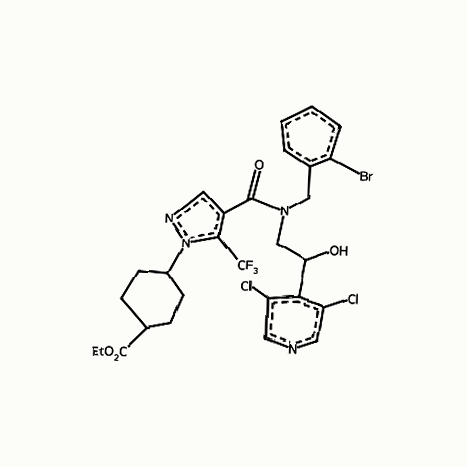 CCOC(=O)C1CCC(n2ncc(C(=O)N(Cc3ccccc3Br)CC(O)c3c(Cl)cncc3Cl)c2C(F)(F)F)CC1